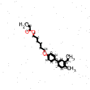 C=CC(=O)OCCCCCCOc1ccc(-c2ccc(C)c(C=C)c2)cc1